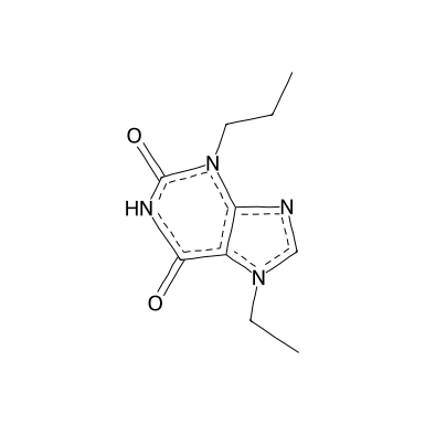 CCCn1c(=O)[nH]c(=O)c2c1ncn2CC